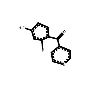 Cc1ccc(C(=O)c2ccncc2)c(F)c1